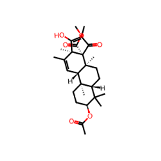 COC(=O)[C@@]12C(=O)C(C)=C(O)[C@]1(C)C(C)=C[C@H]1[C@]3(C)CC[C@H](OC(C)=O)C(C)(C)[C@H]3CC[C@@]12C